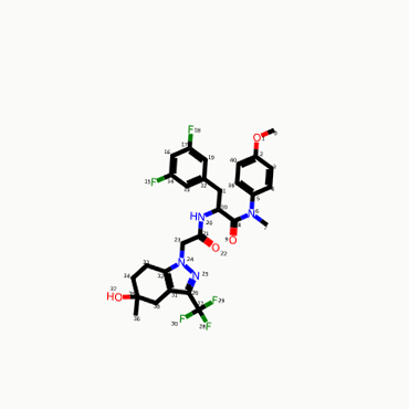 COc1ccc(N(C)C(=O)C(Cc2cc(F)cc(F)c2)NC(=O)Cn2nc(C(F)(F)F)c3c2CCC(C)(O)C3)cc1